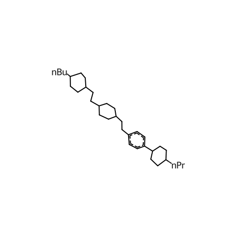 CCCCC1CCC(CCC2CCC(CCc3ccc(C4CCC(CCC)CC4)cc3)CC2)CC1